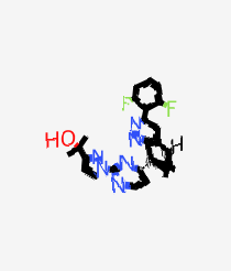 CC(C)(O)c1ccn(-c2nccc([C@]34CC[C@@H](c5cc(-c6c(F)cccc6F)nnc53)C4(C)C)n2)n1